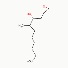 CCCCCCCCCCCCCC(C)C(O)CC1CO1